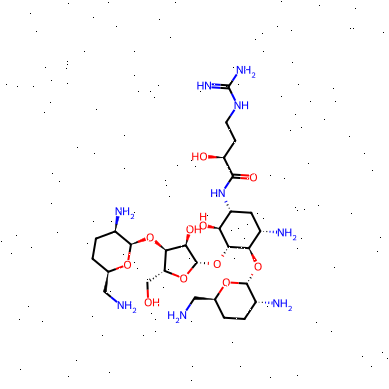 N=C(N)NCC[C@H](O)C(=O)N[C@@H]1C[C@H](N)[C@@H](O[C@H]2O[C@H](CN)CC[C@H]2N)[C@H](O[C@@H]2O[C@H](CO)[C@@H](O[C@H]3O[C@@H](CN)CC[C@H]3N)[C@H]2O)[C@H]1O